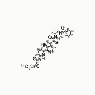 CC1CN(C(=O)c2ccccc2)CCN1C(=O)C(=O)c1c[nH]c2c(-c3cccc(NC(=O)C4OC4C(=O)O)n3)nccc12